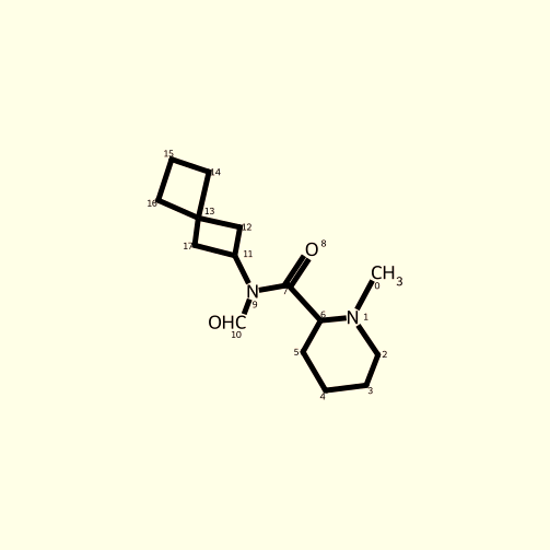 CN1CCCCC1C(=O)N(C=O)C1CC2(CCC2)C1